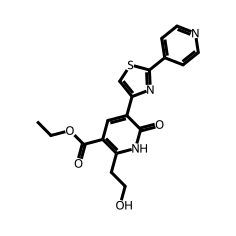 CCOC(=O)c1cc(-c2csc(-c3ccncc3)n2)c(=O)[nH]c1CCO